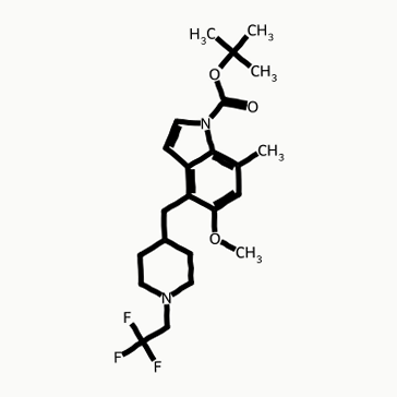 COc1cc(C)c2c(ccn2C(=O)OC(C)(C)C)c1CC1CCN(CC(F)(F)F)CC1